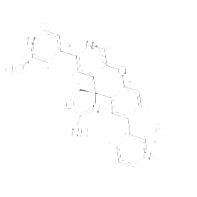 NC1=N[C@@]2(CO1)c1cc(-c3cccnc3F)ccc1Oc1cnc(-c3ccnc(O)c3)cc12